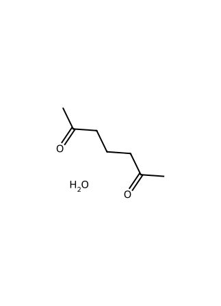 CC(=O)CCCC(C)=O.O